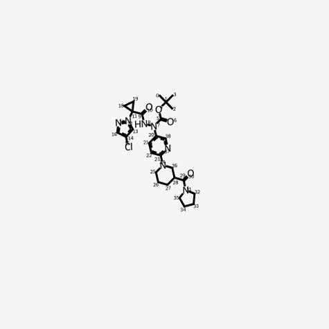 CC(C)(C)OC(=O)N(NC(=O)C1(n2cc(Cl)cn2)CC1)c1ccc(N2CCCC(C(=O)N3CCCC3)C2)nc1